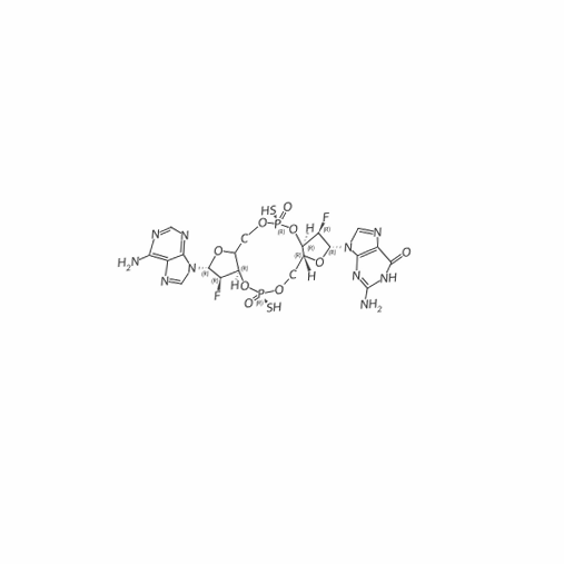 Nc1nc2c(ncn2[C@@H]2O[C@@H]3CO[P@@](=O)(S)O[C@@H]4C(CO[P@@](=O)(S)O[C@H]3[C@H]2F)O[C@@H](n2cnc3c(N)ncnc32)[C@@H]4F)c(=O)[nH]1